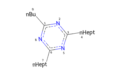 [CH2]CCCc1nc(CCCCCCC)nc(CCCCCCC)n1